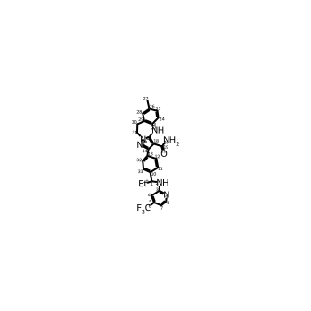 CCC(Nc1cc(C(F)(F)F)ccn1)c1ccc(-c2nn3c(c2C(N)=O)Nc2ccc(C)cc2CC3)cc1